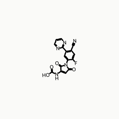 N#Cc1cc(F)c(N2C(=O)C=C(NC(=O)O)C2=O)cc1-c1ncccn1